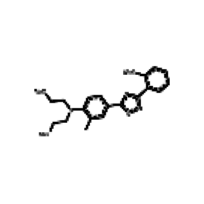 COCCN(CCOC)c1ccc(-c2nc(-c3ccccc3OC)no2)cc1C